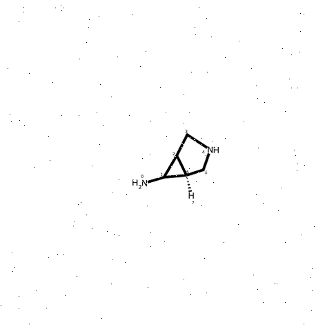 NC1C2CNC[C@@H]12